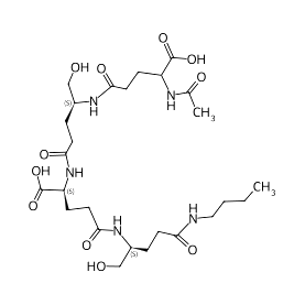 CCCCNC(=O)CC[C@@H](CO)NC(=O)CC[C@H](NC(=O)CC[C@@H](CO)NC(=O)CCC(NC(C)=O)C(=O)O)C(=O)O